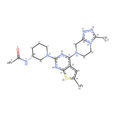 CCCC(=O)N[C@@H]1CCCN(c2nc(N3CCn4c(nnc4C(F)(F)F)C3)c3cc(CCC)sc3n2)C1